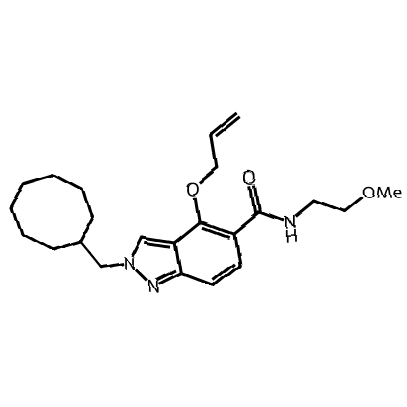 C=CCOc1c(C(=O)NCCOC)ccc2nn(CC3CCCCCCC3)cc12